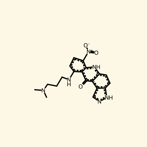 CN(C)CCCNc1ccc([N+](=O)[O-])c2[nH]c3ccc4[nH]ncc4c3c(=O)c12